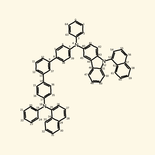 c1ccc(N(c2ccc(-c3cccc(-c4ccc(N(c5ccccc5)c5cccc6ccccc56)cc4)c3)cc2)c2ccc3c(c2)c2ccccc2n3-c2cccc3ccccc23)cc1